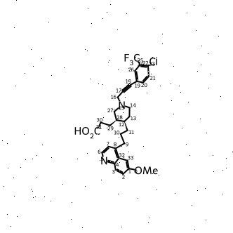 COc1ccc2nccc(CCC[C@@H]3CCN(CC#Cc4ccc(Cl)c(C(F)(F)F)c4)C[C@@H]3CCC(=O)O)c2c1